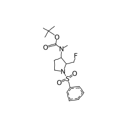 CN(C(=O)OC(C)(C)C)C1CCN(S(=O)(=O)c2ccccc2)C1CF